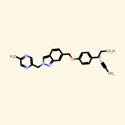 CC#C[C@@H](CC(=O)O)c1ccc(OCc2ccc3cn(Cc4cnc(C)cn4)nc3c2)cc1